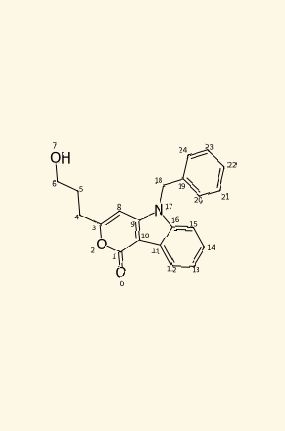 O=c1oc(CCCO)cc2c1c1ccccc1n2Cc1ccccc1